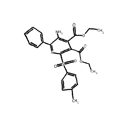 CCOC(=O)c1c(S(=O)(=O)c2ccc(C)cc2)nc(-c2ccccc2)c(N)c1C(=O)OCC